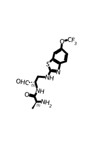 C[C@H](N)C(=O)N[C@H](C=O)CNc1nc2ccc(OC(F)(F)F)cc2s1